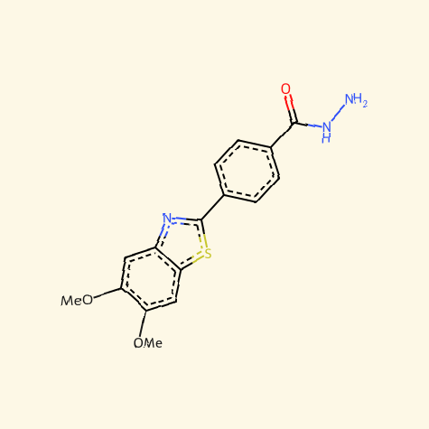 COc1cc2nc(-c3ccc(C(=O)NN)cc3)sc2cc1OC